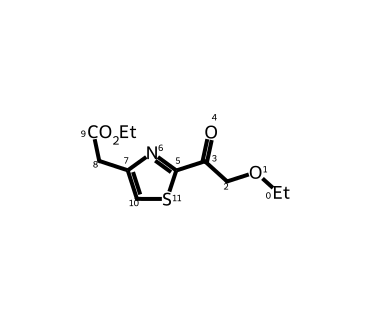 CCOCC(=O)c1nc(CC(=O)OCC)cs1